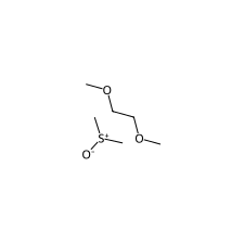 COCCOC.C[S+](C)[O-]